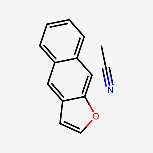 CC#N.c1ccc2cc3occc3cc2c1